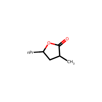 CCCC1CC(C)C(=O)O1